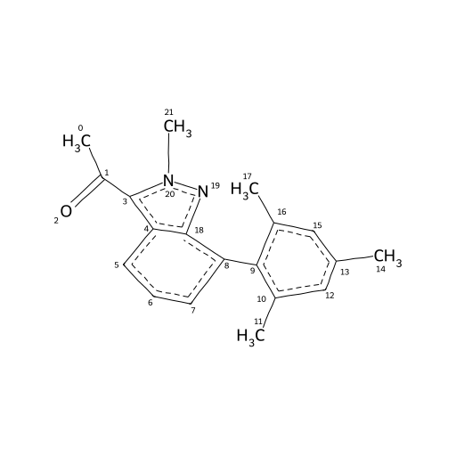 CC(=O)c1c2cccc(-c3c(C)cc(C)cc3C)c2nn1C